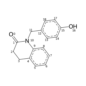 O=C1CCc2ccccc2N1Cc1ccc(O)cc1